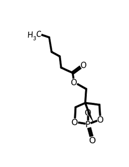 CCCCCC(=O)OCC12COP(=O)(OC1)OC2